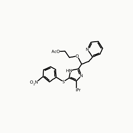 CC(=O)OCCOC(Cc1ccccn1)c1nc(C(C)C)c(Sc2cccc([N+](=O)[O-])c2)[nH]1